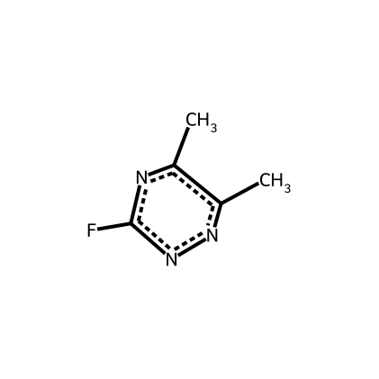 Cc1nnc(F)nc1C